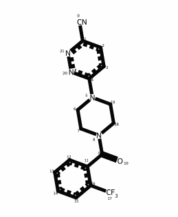 N#Cc1ccc(N2CCN(C(=O)c3ccccc3C(F)(F)F)CC2)nn1